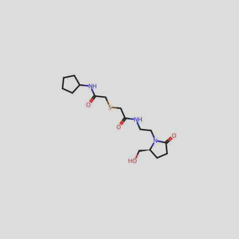 O=C(CSCC(=O)NC1CCCC1)NCCN1C(=O)CC[C@H]1CO